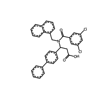 O=C(O)CC(c1ccc(-c2ccccc2)cc1)N(Cc1cccc2ccccc12)C(=O)c1cc(Cl)cc(Cl)c1